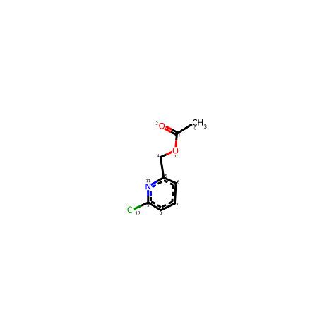 CC(=O)OCc1cccc(Cl)n1